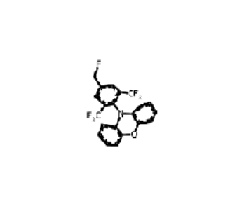 FCc1cc(C(F)(F)F)c(N2c3ccccc3Oc3ccccc32)c(C(F)(F)F)c1